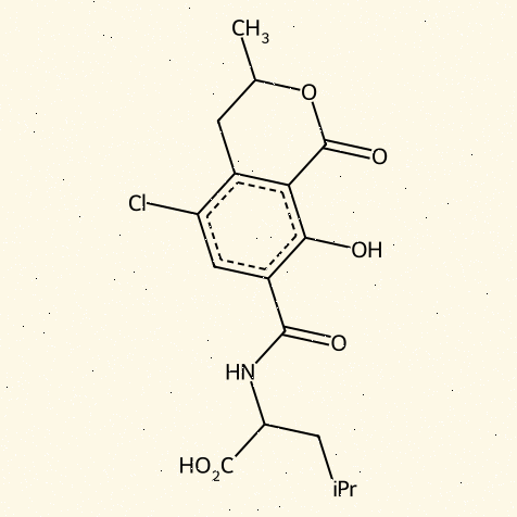 CC(C)CC(NC(=O)c1cc(Cl)c2c(c1O)C(=O)OC(C)C2)C(=O)O